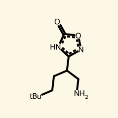 CC(C)(C)CCC(CN)c1noc(=O)[nH]1